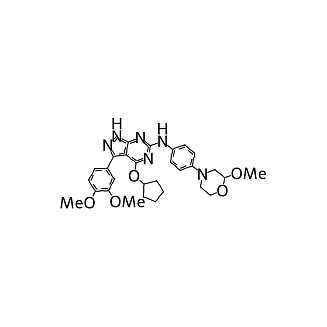 COc1ccc(-c2n[nH]c3nc(Nc4ccc(N5CCOC(OC)C5)cc4)nc(OC4CCCC4)c23)cc1OC